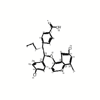 CCC[C@H](c1ccc(C(=O)O)cc1)[C@@H](Oc1ccnc2c(C)cc(Cl)cc12)c1ccc(Cl)cc1